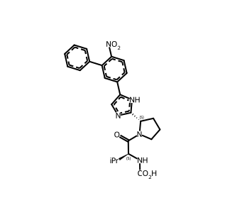 CC(C)[C@H](NC(=O)O)C(=O)N1CCC[C@H]1c1ncc(-c2ccc([N+](=O)[O-])c(-c3ccccc3)c2)[nH]1